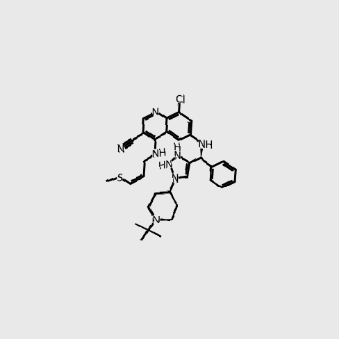 CS/C=C\CNc1c(C#N)cnc2c(Cl)cc(N[C@H](C3=CN(C4CCN(C(C)(C)C)CC4)NN3)c3ccccc3)cc12